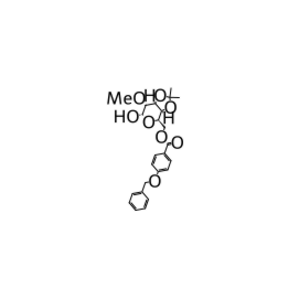 CO[C@@H]1[C@H]2OC(C)(C)O[C@H]2[C@@H](COC(=O)c2ccc(OCc3ccccc3)cc2)O[C@@H]1O